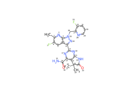 Cc1nc2c(cc1F)c(-c1nc3c(c(C(N)=O)n1)C(C)(C(F)(F)F)C(=O)N3)nn2Cc1ncccc1F